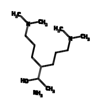 CC(O)C(CCCN(C)C)CCCN(C)C.N